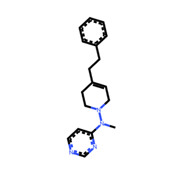 CN(c1ccncn1)N1CC=C(CCc2ccccc2)CC1